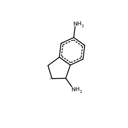 Nc1ccc2c(c1)C[C]C2N